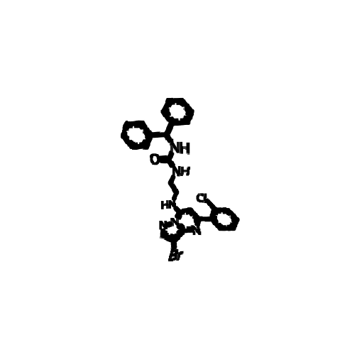 O=C(NCCNc1cc(-c2ccccc2Cl)nc2c(Br)cnn12)NC(c1ccccc1)c1ccccc1